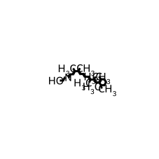 CC(=CC=NCCO)/C(C)=C/C=C/C=C(C)/C(C)=C/C1=C(C)CCCC1(C)C